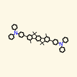 Cc1cc(-c2ccc(N(c3ccccc3)c3ccccc3)cc2)cc2c1-c1cc3c(cc1C2(C)C)-c1c(C)cc(-c2ccc(N(c4ccccc4)c4ccccc4)cc2)cc1C3(C)C